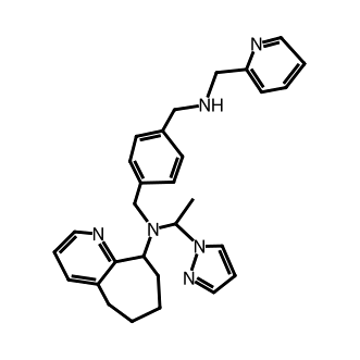 CC(N(Cc1ccc(CNCc2ccccn2)cc1)C1CCCCc2cccnc21)n1cccn1